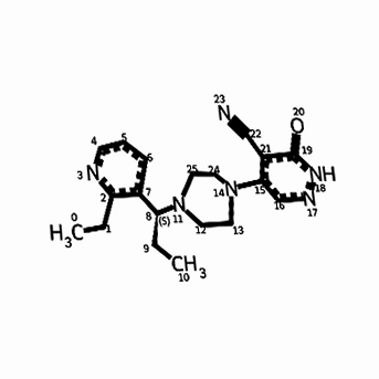 CCc1ncccc1[C@H](CC)N1CCN(c2cn[nH]c(=O)c2C#N)CC1